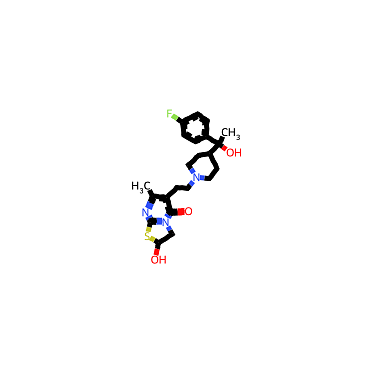 Cc1nc2n(c(=O)c1CCN1CCC(C(C)(O)c3ccc(F)cc3)CC1)CC(O)S2